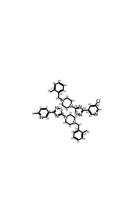 Cc1ccc(-c2nsc(N3CCN(Cc4ccccc4C)CC3)n2)cn1.Cc1ccccc1CN1CCN(c2nc(-c3cncc(Cl)c3)ns2)CC1